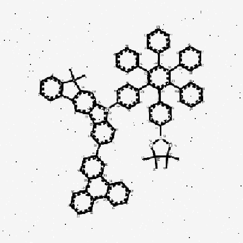 CC1(C)c2ccccc2-c2cc3c4cc(-c5ccc6c7ccccc7c7ccccc7c6c5)ccc4n(-c4ccc(-c5c(-c6ccccc6)c(-c6ccccc6)c(-c6ccccc6)c(-c6ccccc6)c5-c5ccc(B6OC(C)(C)C(C)(C)O6)cc5)cc4)c3cc21